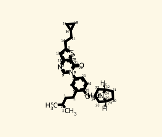 CC(C)CCc1cc(-n2cnc3cc(CCC4CC4)sc3c2=O)ccc1O[C@H]1C[C@H]2CC[C@@H](C1)N2C